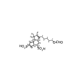 CC1=[N+](CCCCCOC=O)c2cc(S(=O)(=O)O)c3sc(S(=O)(=O)O)cc3c2C1(C)C